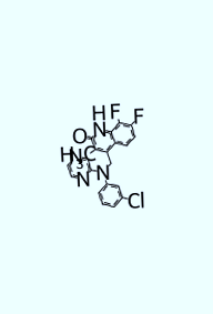 Cc1c(CN(c2cccc(Cl)c2)c2cnccn2)c2ccc(F)c(F)c2[nH]c1=O